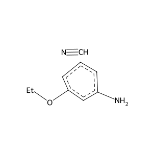 C#N.CCOc1cccc(N)c1